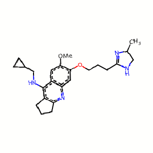 COc1cc2c(NCC3CC3)c3c(nc2cc1OCCCC1=NC(C)CN1)CCC3